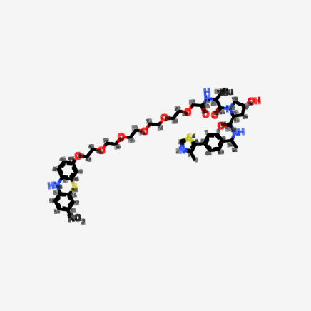 Cc1ncsc1-c1ccc(C(C)NC(=O)[C@@H]2C[C@@H](O)CN2C(=O)C(NC(=O)COCCOCCOCCOCCOCCOc2ccc3c(c2)Sc2cc([N+](=O)[O-])ccc2N3)C(C)(C)C)cc1